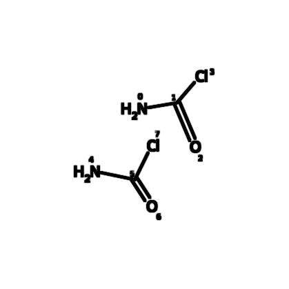 NC(=O)Cl.NC(=O)Cl